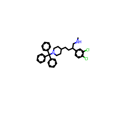 CNCC(CCC1CCN(C(c2ccccc2)(c2ccccc2)c2ccccc2)CC1)c1ccc(Cl)c(Cl)c1